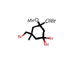 COC1(OC)CC(Br)(Br)CC(C)(CBr)C1